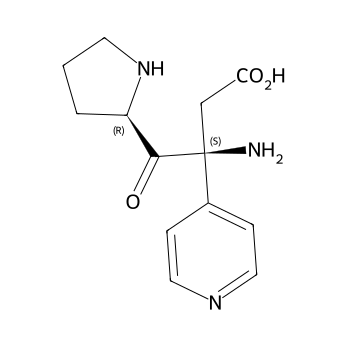 N[C@](CC(=O)O)(C(=O)[C@H]1CCCN1)c1ccncc1